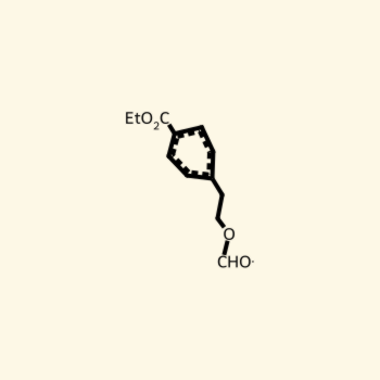 CCOC(=O)c1ccc(CCO[C]=O)cc1